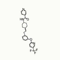 O=C(NC1CCC(=CCc2cccc(Oc3ccc(C(F)(F)F)cn3)c2)CC1)c1ccncc1